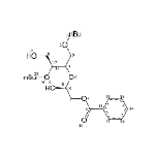 CCCCOCC(O[C@H](O)COC(=O)c1ccccc1)[C@H](CO)OCCCC